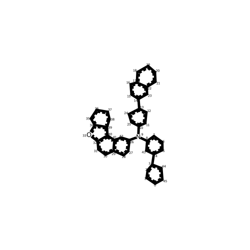 c1ccc(-c2cccc(N(c3ccc(-c4ccc5ccccc5c4)cc3)c3ccc4ccc5oc6ccccc6c5c4c3)c2)cc1